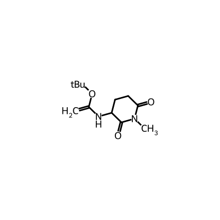 C=C(NC1CCC(=O)N(C)C1=O)OC(C)(C)C